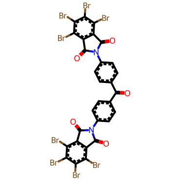 O=C(c1ccc(N2C(=O)c3c(Br)c(Br)c(Br)c(Br)c3C2=O)cc1)c1ccc(N2C(=O)c3c(Br)c(Br)c(Br)c(Br)c3C2=O)cc1